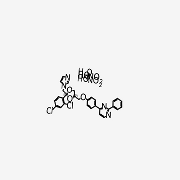 Clc1ccc([C@]2(Cn3ccnc3)OC[C@@H](COc3ccc(-c4ccnc(-c5ccccc5)n4)cc3)O2)c(Cl)c1.O.O=[N+]([O-])O.O=[N+]([O-])O